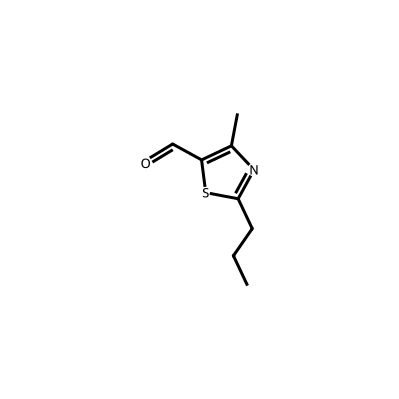 CCCc1nc(C)c(C=O)s1